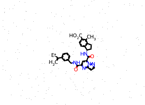 C=C(CC)c1cccc(CNC(=O)c2cc(C(=O)N[C@H]3CCc4c3ccc(C(=O)O)c4C)n3nccc3n2)c1